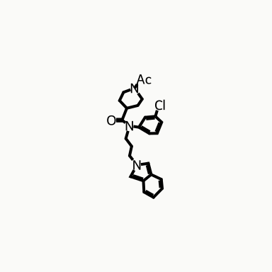 CC(=O)N1CCC(C(=O)N(CCCn2cc3ccccc3c2)c2cccc(Cl)c2)CC1